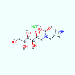 Cl.O=C(O)N(CC1CNC1)C[C@H](O)[C@@H](O)[C@H](O)[C@H](O)CO